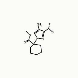 COC(=O)C1(n2cc(N)c(C(F)F)n2)CCCCC1